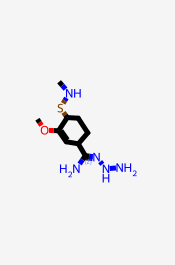 CNSC1CCC(/C(N)=N/NN)C=C1OC